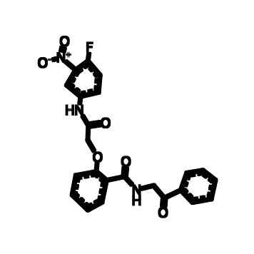 O=C(COc1ccccc1C(=O)NCC(=O)c1ccccc1)Nc1ccc(F)c([N+](=O)[O-])c1